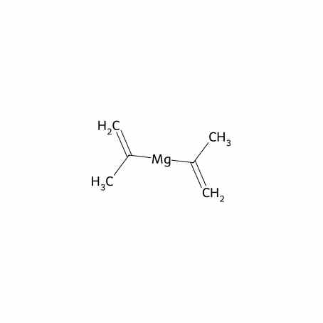 C=[C](C)[Mg][C](=C)C